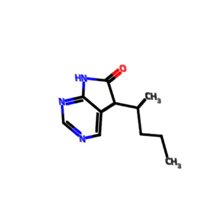 CCCC(C)C1C(=O)Nc2ncncc21